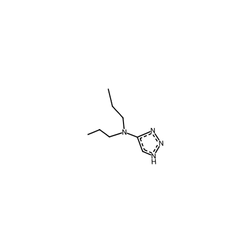 CCCN(CCC)c1c[nH]nn1